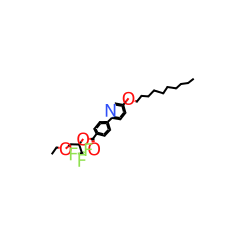 CCCCCCCCCCOc1ccc(-c2ccc(C(=O)OC(COCC)C(F)(F)F)cc2)nc1